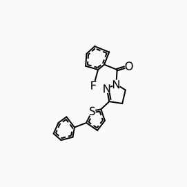 O=C(c1ccccc1F)N1CCC(c2ccc(-c3ccccc3)s2)=N1